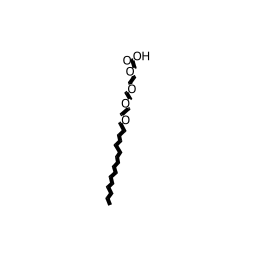 CCCCCCCCCCCCCCCCOCCOCCOCCOCC(=O)O